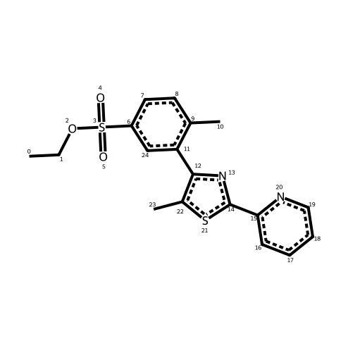 CCOS(=O)(=O)c1ccc(C)c(-c2nc(-c3ccccn3)sc2C)c1